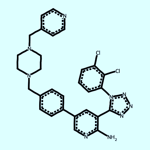 Nc1ncc(-c2ccc(CN3CCN(Cc4ccncc4)CC3)cc2)cc1-c1nnnn1-c1cccc(Cl)c1Cl